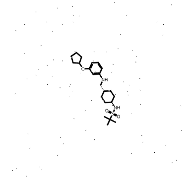 CC(C)(C)S(=O)(=O)N[C@H]1CC[C@H](CNc2cccc(OC3CCCC3)c2)CC1